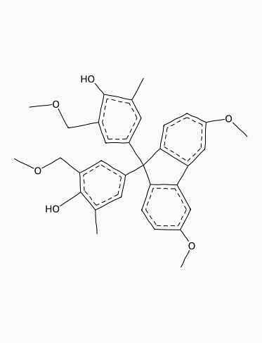 COCc1cc(C2(c3cc(C)c(O)c(COC)c3)c3ccc(OC)cc3-c3cc(OC)ccc32)cc(C)c1O